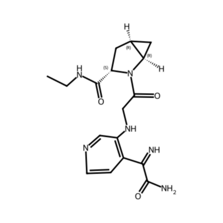 CCNC(=O)[C@@H]1C[C@H]2C[C@H]2N1C(=O)CNc1cnccc1C(=N)C(N)=O